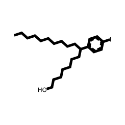 CCCCCCCCCCC(CCCCCCCO)c1ccc(I)cc1